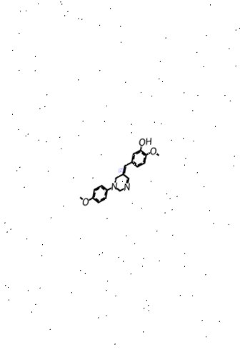 COc1ccc(N2CN=C/C(=C\c3ccc(OC)c(O)c3)C2)cc1